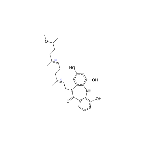 COC(C)CC/C(C)=C/CC/C(C)=C/CN1C(=O)c2cccc(O)c2Nc2c(O)cc(O)cc21